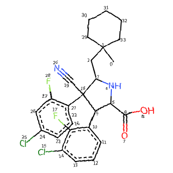 CC1(CC2NC(C(=O)O)C(c3cccc(Cl)c3F)C2(C#N)c2ccc(Cl)cc2F)CCCCC1